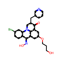 O=c1c(Cc2cccnc2)cn2c3cc(Br)ccc3c(=NO)c3cc(OCCCO)cc1c32